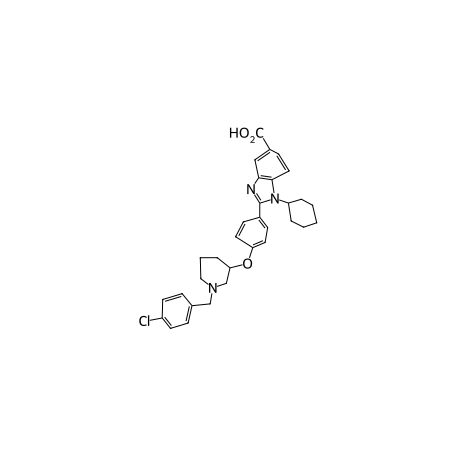 O=C(O)c1ccc2c(c1)nc(-c1ccc(OC3CCCN(Cc4ccc(Cl)cc4)C3)cc1)n2C1CCCCC1